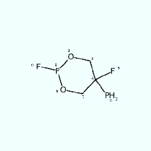 FP1OCC(F)(P)CO1